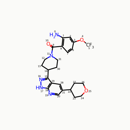 Nc1cc(OC(F)(F)F)ccc1C(=O)N1CCC(c2n[nH]c3ncc(C4CCOCC4)cc23)CC1